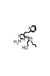 CCCC[C@@H](CCO)Nc1nc(N)ncc1CCc1ccccn1